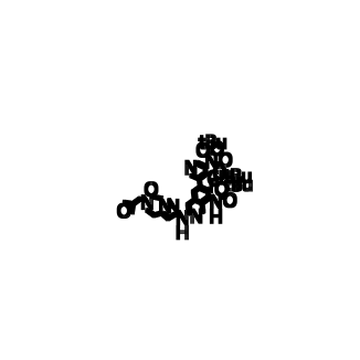 Cc1c(-c2cc3cc(Nc4cc5n(n4)CC(=O)N(CC4COC4)CC5)ncc3c(NC(=O)OC(C)(C)C)c2F)cncc1N(C(=O)OC(C)(C)C)C(=O)OC(C)(C)C